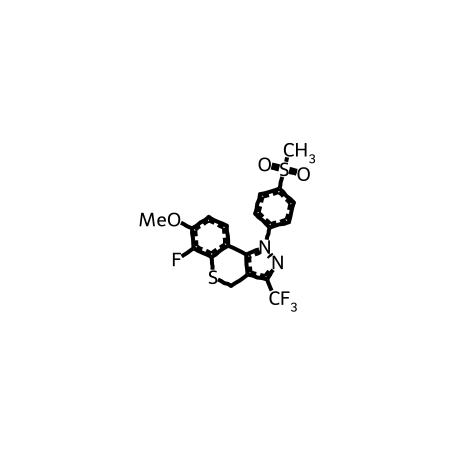 COc1ccc2c(c1F)SCc1c(C(F)(F)F)nn(-c3ccc(S(C)(=O)=O)cc3)c1-2